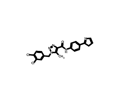 Cc1c(C(=O)Nc2ccc(C3=NC=CC3)cc2)nnn1Cc1ccc(Cl)c(Cl)c1